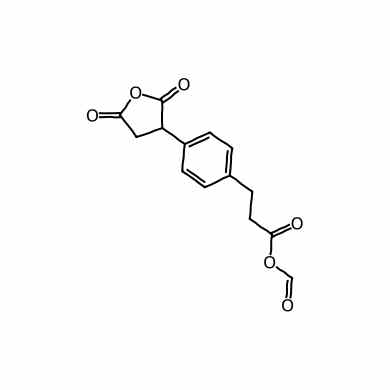 O=COC(=O)CCc1ccc(C2CC(=O)OC2=O)cc1